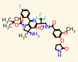 COc1cc(C(=O)NC[C@@](O)(c2cc3c(c(-c4ccc(F)cc4)n2)N(C(=O)OC(C)(C)C)C[C@@]3(C)N)C(F)(F)F)ccc1O[C@H]1CCNC1=O